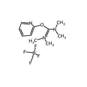 CN(C)C(Oc1ccccn1)=[N+](C)C.F[B-](F)(F)F